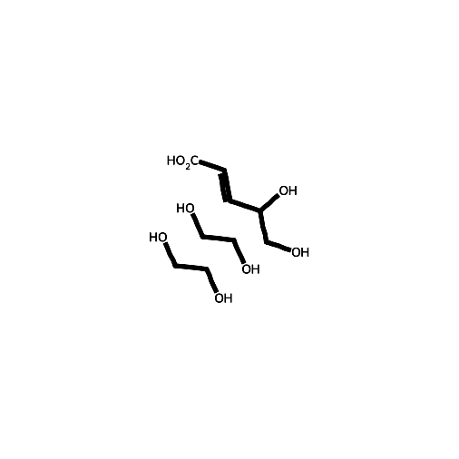 O=C(O)C=CC(O)CO.OCCO.OCCO